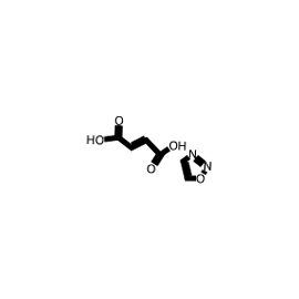 O=C(O)C=CC(=O)O.c1conn1